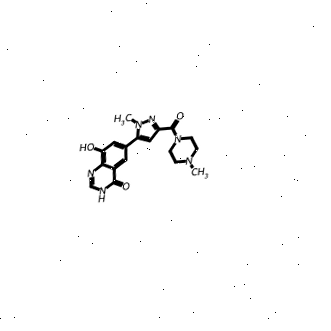 CN1CCN(C(=O)c2cc(-c3cc(O)c4nc[nH]c(=O)c4c3)n(C)n2)CC1